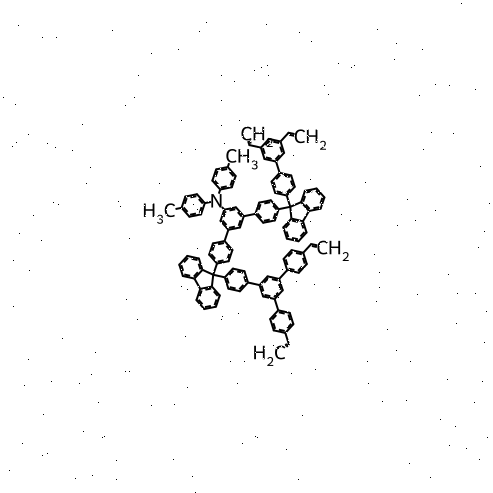 C=Cc1ccc(-c2cc(-c3ccc(C=C)cc3)cc(-c3ccc(C4(c5ccc(-c6cc(-c7ccc(C8(c9ccc(-c%10cc(C=C)cc(C=C)c%10)cc9)c9ccccc9-c9ccccc98)cc7)cc(N(c7ccc(C)cc7)c7ccc(C)cc7)c6)cc5)c5ccccc5-c5ccccc54)cc3)c2)cc1